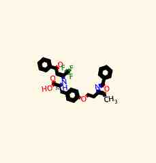 Cc1oc(-c2ccccc2)nc1CCOc1ccc(C[C@H](NC(=CC(=O)c2ccccc2)C(F)(F)F)C(=O)O)cc1